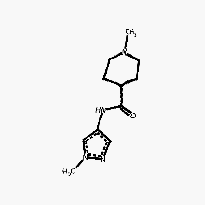 CN1CCC(C(=O)Nc2cnn(C)c2)CC1